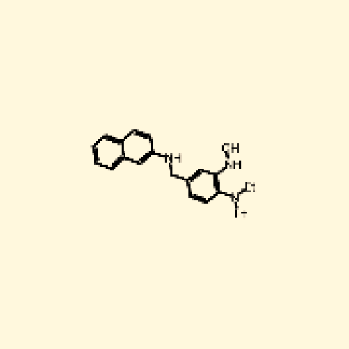 CCN(CC)c1ccc(CNc2ccc3ccccc3c2)cc1NO